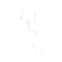 O/N=C/c1cc2cccnn2c1